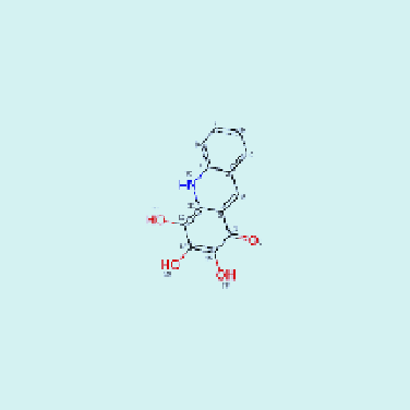 O=c1c2cc3ccccc3[nH]c-2c(O)c(O)c1O